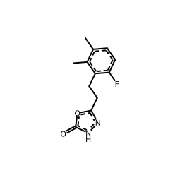 Cc1ccc(F)c(CCc2n[nH]c(=O)o2)c1C